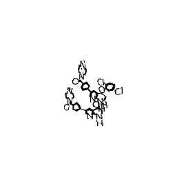 CN1CCN(C(=O)c2ccc(-c3cnc4c(c3)C(O)CCN4)cc2)CC1.CN1CCN(C(=O)c2ccc(-c3cnc4c(c3)C(Oc3cc(Cl)ccc3Cl)CCN4)cc2)CC1